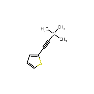 C[Si](C)(C)C#Cc1cccs1